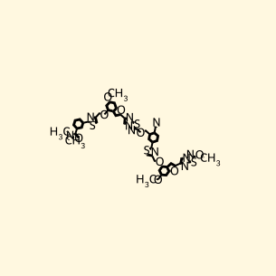 COc1cc(OCc2csc(-c3ccc(C#N)c(COc4nn5cc(-c6cc7c(OCc8csc(-c9cccc(C(=O)N(C)C)c9)n8)cc(OC)cc7o6)nc5s4)c3)n2)c2cc(-c3cn4nc(OC)sc4n3)oc2c1